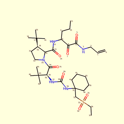 C=CCNC(=O)C(=O)C(CCC)NC(=O)C1[C@H](C(C)(C)C)CCN1C(=O)[C@@H](NC(=O)NC1(CS(=O)(=O)CC)CCCCC1)C(C)(C)C